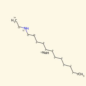 CCCCCCCCCCCCNCC.[NaH]